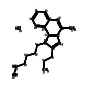 CCCc1nc2c(N)nc3ccccc3c2n1CCCCNO.Cl